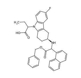 CCC(C(=O)O)n1c2c(c3cc(F)ccc31)C[C@@H](NC(C(=O)OCc1ccccc1)c1cccc3ccccc13)CC2